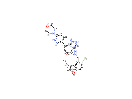 Fc1ccc2c3c1CNc1c(cc(-c4ccc(N5CCOCC5)nc4)c4nncn14)OCC[C@H]3CO2